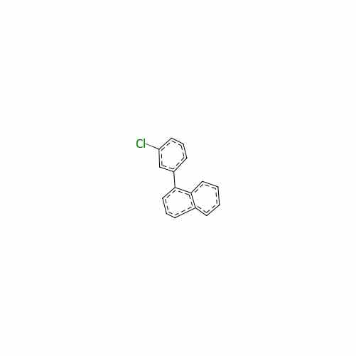 Clc1cccc(-c2cccc3ccccc23)c1